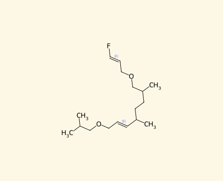 CC(C)COC/C=C/C(C)CCC(C)COC/C=C/F